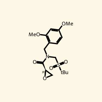 COc1ccc(CN(CS(=O)(=O)C(C)(C)C)C(=O)[C@H]2CO2)c(OC)c1